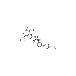 CCCN1C(=O)CN=C(C2CCCCC2)c2ccc(NC(=O)Nc3cccc(N4CCN(C)CC4)c3)cc21